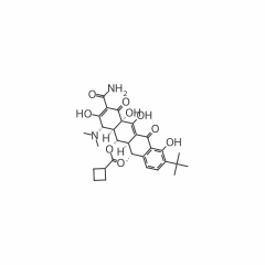 C[C@H]1c2ccc(C(C)(C)C)c(O)c2C(=O)C2=C(O)[C@]3(O)C(=O)C(C(N)=O)=C(O)[C@@H](N(C)C)[C@@H]3[C@@H](OC(=O)C3CCC3)[C@@H]21